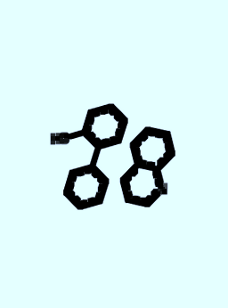 Oc1ccccc1-c1ccccc1.c1ccc2ncccc2c1